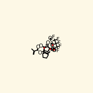 C=C(C)C(=O)OC1CCN(S(=O)(=O)C(F)(F)C(F)(F)C(F)(F)S(=O)(=O)ON2C(=O)C3C4CCC(C4)C3C2=O)CC1